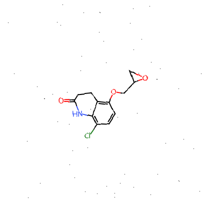 O=C1CCc2c(OCC3CO3)ccc(Cl)c2N1